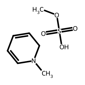 CN1C=CC=CC1.COS(=O)(=O)O